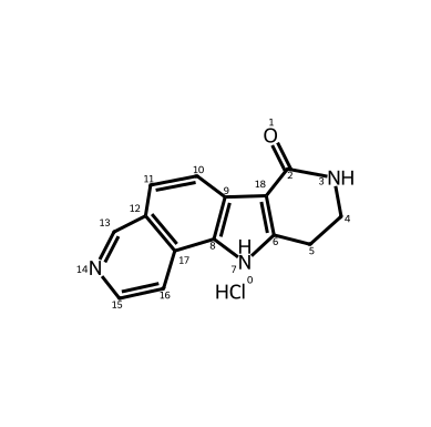 Cl.O=C1NCCc2[nH]c3c(ccc4cnccc43)c21